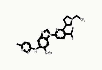 COc1cc2c(cc1Nc1ccc(C)nn1)ncn2-c1ccc(C(F)F)c(C2CCN(CC(F)(F)F)C2)n1